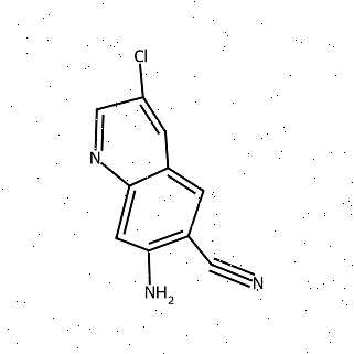 N#Cc1cc2cc(Cl)cnc2cc1N